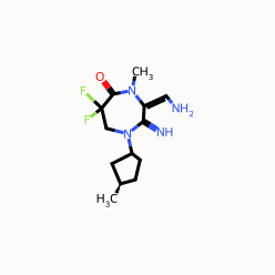 C[C@@H]1CCC(N2CC(F)(F)C(=O)N(C)/C(=C/N)C2=N)C1